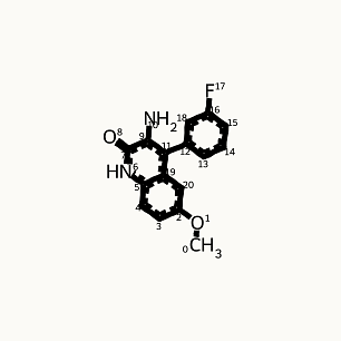 COc1ccc2[nH]c(=O)c(N)c(-c3cccc(F)c3)c2c1